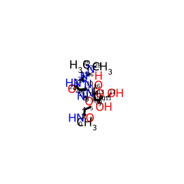 CNC(=O)CCO[C@@H]1[C@H](O)[C@@H](CO)O[C@@]1(CO)n1cnc2c(=O)[nH]c(N=CN(C)C)nc21